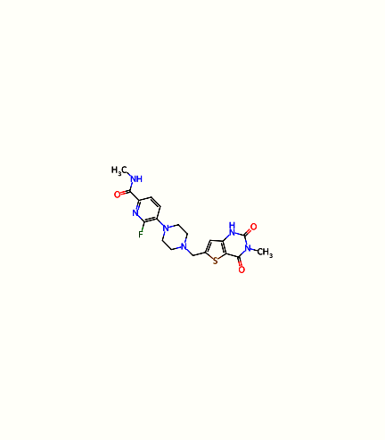 CNC(=O)c1ccc(N2CCN(Cc3cc4[nH]c(=O)n(C)c(=O)c4s3)CC2)c(F)n1